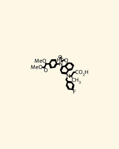 COC(=O)C(OC)c1ccc(N(c2ccc(N(Cc3ccc(F)cc3)[C@@H](C)CC(=O)O)c3ccccc23)[SH](=O)=O)cc1